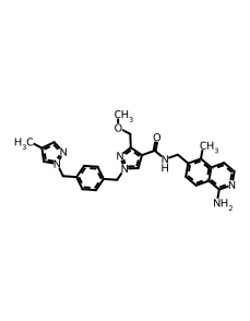 COCc1nn(Cc2ccc(Cn3cc(C)cn3)cc2)cc1C(=O)NCc1ccc2c(N)nccc2c1C